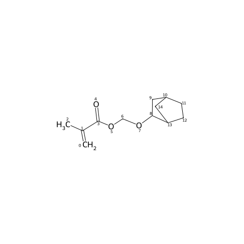 C=C(C)C(=O)OCOC1CC2CCC1C2